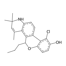 CCCC1Oc2ccc(O)c(Cl)c2-c2ccc3c(c21)C(C)=CC(C)(C)N3